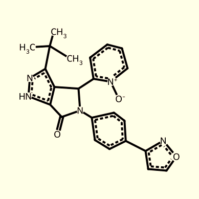 CC(C)(C)c1n[nH]c2c1C(c1cccc[n+]1[O-])N(c1ccc(-c3ccon3)cc1)C2=O